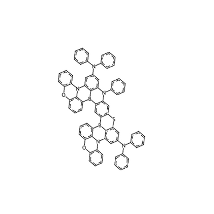 c1ccc(N(c2ccccc2)c2cc3c4c(c2)N2c5ccccc5Oc5cccc(c52)B4c2cc4c(cc2S3)N(c2ccccc2)c2cc(N(c3ccccc3)c3ccccc3)cc3c2B4c2cccc4c2N3c2ccccc2O4)cc1